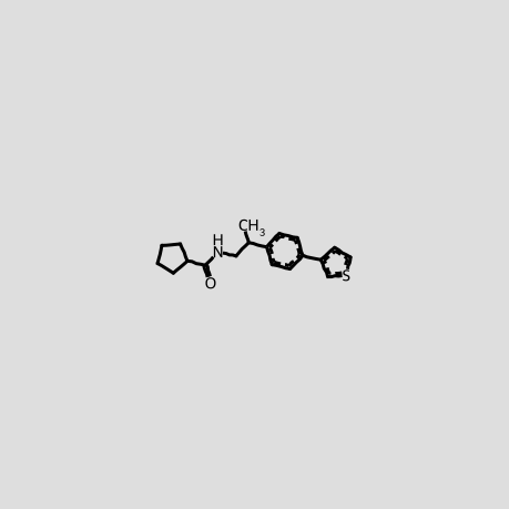 CC(CNC(=O)C1CCCC1)c1ccc(-c2ccsc2)cc1